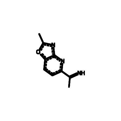 CC(=N)c1ccc2oc(C)nc2n1